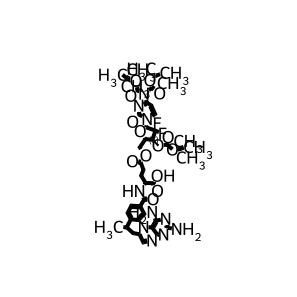 CC(Cc1cnc2nc(N)nc(N)c2n1)c1ccc(C(=O)NC(CCC(=O)OCC2OC(n3ccc(N(C(=O)OC(C)(C)C)C(=O)OC(C)(C)C)nc3=O)C(F)(F)[C@H]2OC(=O)OC(C)(C)C)C(=O)O)cc1